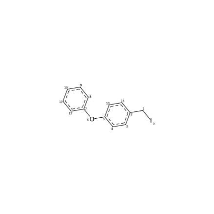 ICc1ccc(Oc2ccccc2)cc1